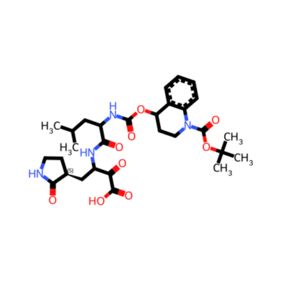 CC(C)CC(NC(=O)OC1CCN(C(=O)OC(C)(C)C)c2ccccc21)C(=O)NC(C[C@@H]1CCNC1=O)C(=O)C(=O)O